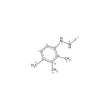 Cc1ccc(NNI)c(C)c1C